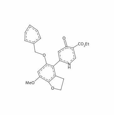 CCOC(=O)c1c[nH]c(-c2c(OCc3ccccc3)cc(OC)c3c2CCO3)cc1=O